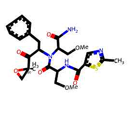 COCC(NC(=O)c1cnc(C)s1)C(=O)N(C(COC)C(N)=O)C(Cc1ccccc1)C(=O)[C@@]1(C)CO1